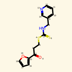 O=C(CCSC(=S)NCc1cccnc1)c1ccco1